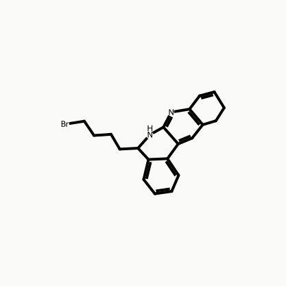 BrCCCCC1Nc2nc3c(cc2-c2ccccc21)CCC=C3